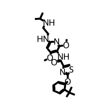 COc1cc(NCCNC(C)C)nc(OC)c1NC(=O)c1csc(Oc2ccccc2C(C)(C)C)n1